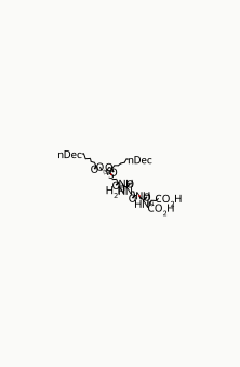 CCCCCCCCCCCCCCCC(=O)OC[C@@H](CSCCC(=O)N[C@@H](N)C(=O)NCC(=O)NCC(=O)N[C@H](CCC(=O)O)C(=O)O)OC(=O)CCCCCCCCCCCCCCC